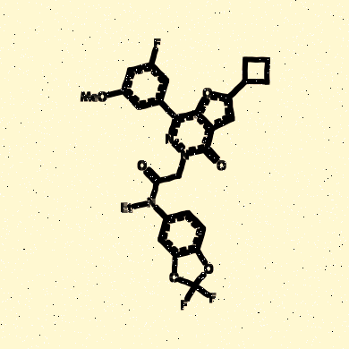 CCN(C(=O)Cn1nc(-c2cc(F)cc(OC)c2)c2oc(C3CCC3)cc2c1=O)c1ccc2c(c1)OC(F)(F)O2